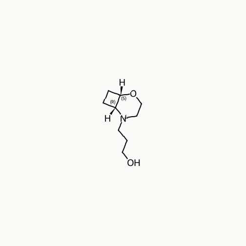 OCCCN1CCO[C@H]2CC[C@H]21